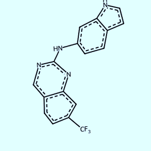 FC(F)(F)c1ccc2cnc(Nc3ccc4cc[nH]c4c3)nc2c1